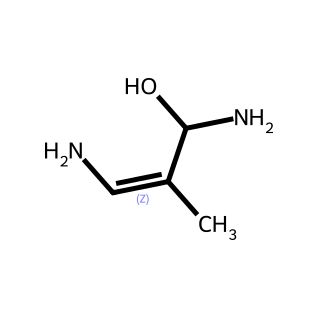 C/C(=C/N)C(N)O